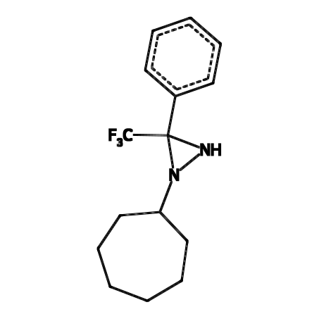 FC(F)(F)C1(c2ccccc2)NN1C1CCCCCC1